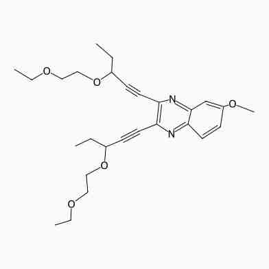 CCOCCOC(C#Cc1nc2ccc(OC)cc2nc1C#CC(CC)OCCOCC)CC